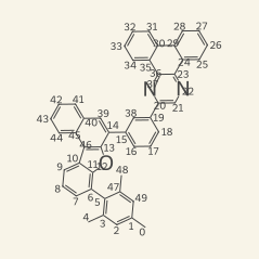 Cc1cc(C)c(-c2cccc3c2oc2c(-c4cccc(-c5cnc6c7ccccc7c7ccccc7c6n5)c4)cc4ccccc4c23)c(C)c1